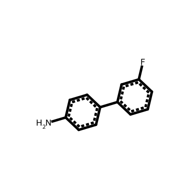 Nc1ccc(-c2cccc(F)c2)cc1